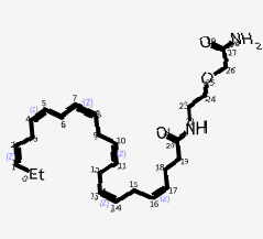 CC/C=C\C/C=C\C/C=C\C/C=C\C/C=C\C/C=C\CCC(=O)NCCOCC(N)=O